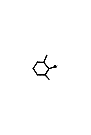 CC1CCCC(C)C1Br